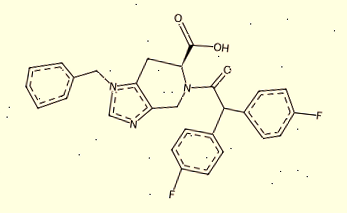 O=C(O)[C@@H]1Cc2c(ncn2Cc2ccccc2)CN1C(=O)C(c1ccc(F)cc1)c1ccc(F)cc1